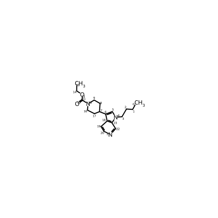 CCCCn1cc(C2CCN(C(=O)OCC)CC2)c2ccncc21